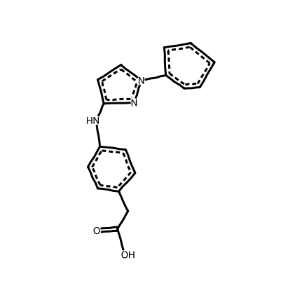 O=C(O)Cc1ccc(Nc2ccn(-c3ccccc3)n2)cc1